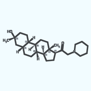 C[C@@]1(O)CC[C@H]2[C@H](CC[C@@H]3[C@@H]2CC[C@]2(C)[C@@H](C(=O)CN4CCCCC4)CC[C@@H]32)C1